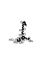 CC(C)(C)C(=O)OCc1ccc(O[C@@H]2O[C@H](C(=O)O)[C@@H](O)[C@H](O)[C@H]2O)c(NC(=O)CCNC(=O)CCCN2C(=O)C=CC2=O)c1